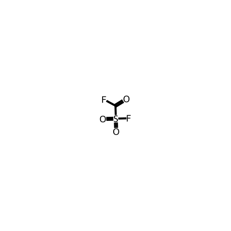 O=C(F)S(=O)(=O)F